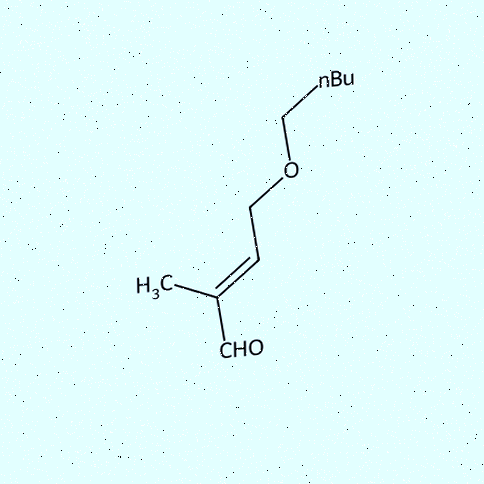 CCCCCOC/C=C(\C)C=O